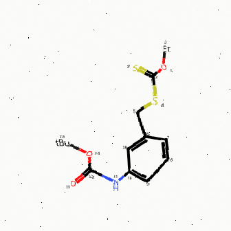 CCOC(=S)SCc1cccc(NC(=O)OC(C)(C)C)c1